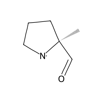 C[C@@]1(C=O)CCC[N]1